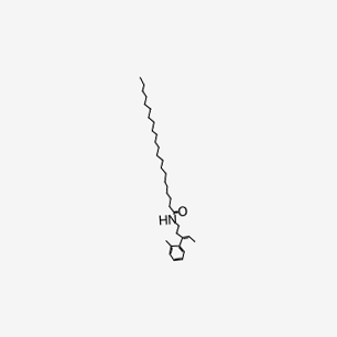 C/C=C(/CCNC(=O)CCCCCCCCCCCCCCCCCCCCC)c1ccccc1C